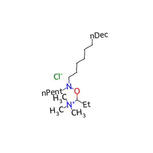 CCCCCCCCCCCCCCCCN(CCCCC)OC(CC)[N+](C)(C)C.[Cl-]